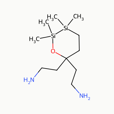 C[Si]1(C)CCC(CCN)(CCN)O[Si]1(C)C